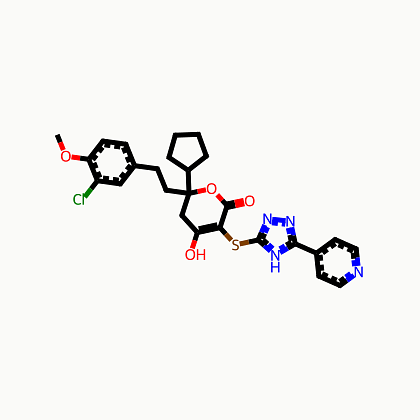 COc1ccc(CCC2(C3CCCC3)CC(O)=C(Sc3nnc(-c4ccncc4)[nH]3)C(=O)O2)cc1Cl